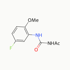 [CH2]C(=O)NC(=O)Nc1cc(F)ccc1OC